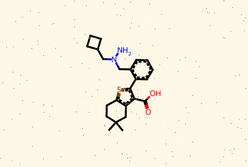 CC1(C)CCc2sc(-c3ccccc3CN(N)CC3CCC3)c(C(=O)O)c2C1